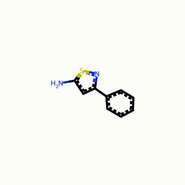 Nc1cc(-c2ccccc2)ns1